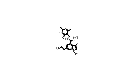 Cc1cc(C)c(CNC(=O)c2cc(CCN)cc3c2c(C)cn3C(C)C)c(=O)[nH]1.Cl